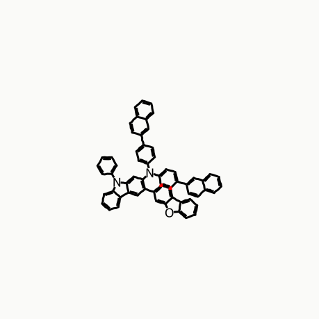 c1ccc(-n2c3ccccc3c3cc(-c4ccc5c(c4)oc4ccccc45)c(N(c4ccc(-c5ccc6ccccc6c5)cc4)c4ccc(-c5ccc6ccccc6c5)cc4)cc32)cc1